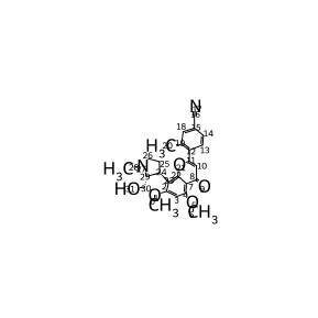 COc1cc(OC)c2c(=O)cc(-c3ccc(C#N)cc3C)oc2c1[C@@H]1CCN(C)[C@H]1CO